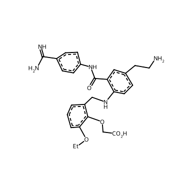 CCOc1cccc(CNc2ccc(CCN)cc2C(=O)Nc2ccc(C(=N)N)cc2)c1OCC(=O)O